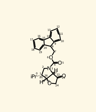 CC(C)[C@@H]1CN(C(=O)OCC2c3ccccc3-c3ccccc32)[C@@H]2C(=O)CO[C@@H]21